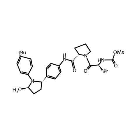 COC(=O)N[C@H](C(=O)N1CCC[C@H]1C(=O)Nc1ccc([C@@H]2CC[C@@H](C)N2c2ccc(C(C)(C)C)cc2)cc1)C(C)C